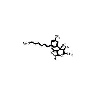 COCCCC/C=C/c1cc(C(F)(F)F)cc(C2(C(C)C)C(C#N)=C(N)Oc3[nH]nc(C)c32)c1